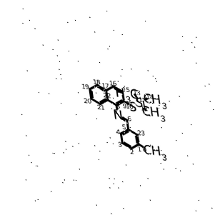 Cc1cccc(C=Nc2c(S[Si](C)(C)C)ccc3ccccc23)c1